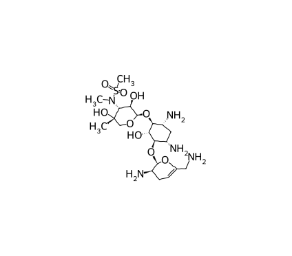 CN([C@@H]1[C@@H](O)[C@@H](O[C@@H]2[C@@H](O)[C@H](O[C@H]3OC(CN)=CC[C@H]3N)[C@@H](N)C[C@H]2N)OC[C@]1(C)O)S(C)(=O)=O